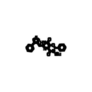 CC(C)(C)OC(=O)c1nc(Cc2cscc2-c2ccccc2)[nH]c(=O)c1OCc1ccccc1